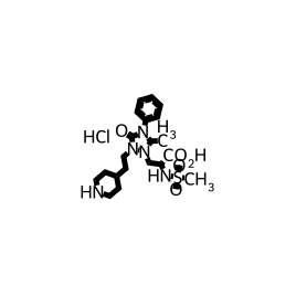 CC1N(c2ccccc2)C(=O)N(CCC2CCNCC2)N1CC(NS(C)(=O)=O)C(=O)O.Cl